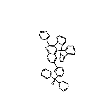 O=P(c1ccccc1)(c1ccccc1)c1cccc(-c2ccc3nc(-c4ccccc4)c4c(c3c2)C2(c3ccccc3-c3ccccc32)c2ccccc2-4)c1